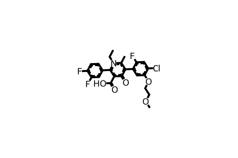 CCn1c(C)c(-c2cc(OCCOC)c(Cl)cc2F)c(=O)c(C(=O)O)c1-c1ccc(F)c(F)c1